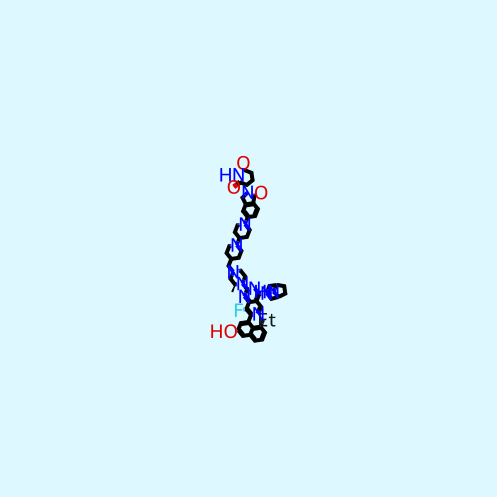 CCc1cccc2cc(O)cc(-c3ncc4c(N5CC6CCC(C5)N6)nc(N5CCN(CC6CCN(C7CCN(c8ccc9c(c8)CN([C@H]8CCC(=O)NC8=O)C9=O)CC7)CC6)C[C@@H]5C)nc4c3F)c12